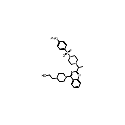 COc1ccc(S(=O)(=O)N2CCN(C(C)c3nc(N4CCC(CCO)CC4)c4ccccc4n3)CC2)cc1